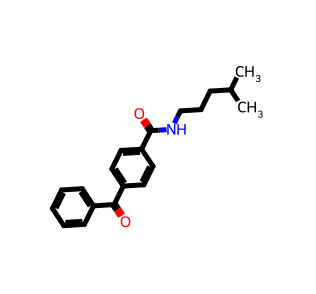 CC(C)CCCNC(=O)c1ccc(C(=O)c2ccccc2)cc1